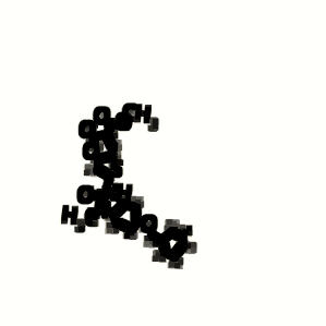 COC(=O)c1cc2sc(NC(=O)N(C)c3ccc(OCc4ccccc4)cc3)cc2oc1=O